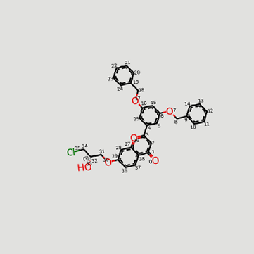 O=c1cc(-c2cc(OCc3ccccc3)cc(OCc3ccccc3)c2)oc2cc(OC[C@H](O)CCl)ccc12